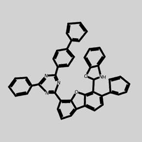 c1ccc(-c2ccc(-c3nc(-c4ccccc4)nc(-c4cccc5c4oc4c(C6Nc7ccccc7O6)c(-c6ccccc6)ccc45)n3)cc2)cc1